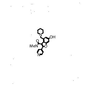 CNC(=O)c1c(-c2ccncc2)oc2cc(O)cc(CN3CCCCC3)c12